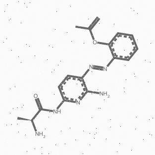 C=C(C)Oc1ccccc1/N=N/c1ccc(NC(=O)[C@H](C)N)nc1N